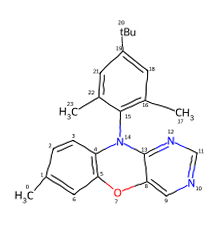 Cc1ccc2c(c1)Oc1cncnc1N2c1c(C)cc(C(C)(C)C)cc1C